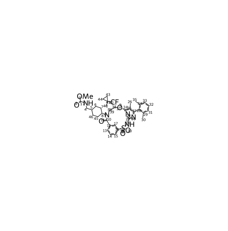 COC(=O)NCC1CCC(N2C(=O)c3cccc(c3)S(=O)(=O)Nc3nc(c(C)c(-c4c(C)cccc4C)n3)OC[C@H]2CC2(C(F)(F)F)CC2)CC1